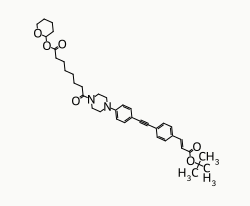 CC(C)(C)OC(=O)/C=C/c1ccc(C#Cc2ccc(N3CCN(C(=O)CCCCCCC(=O)OC4CCCCO4)CC3)cc2)cc1